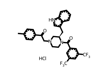 Cc1ccc(C(=O)CN2CCN(C(=O)c3cc(C(F)(F)F)cc(C(F)(F)F)c3)[C@H](Cc3c[nH]c4ccccc34)C2)cc1.Cl